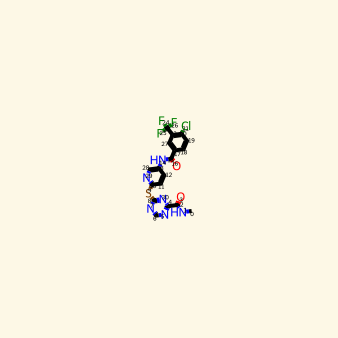 CNC(=O)c1ncnc(Sc2ccc(NC(=O)c3ccc(Cl)c(C(F)(F)F)c3)cn2)n1